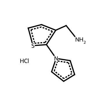 Cl.NCc1ccsc1-n1cccc1